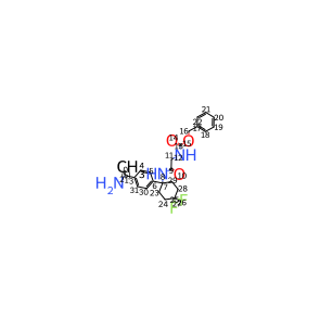 C[C@H](N)c1ccc(C2(NC(=O)CNC(=O)OCc3ccccc3)CCC(F)(F)CC2)cc1